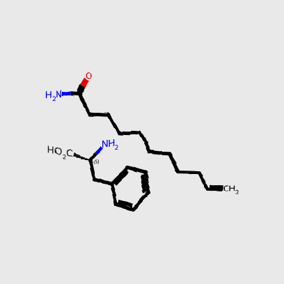 C=CCCCCCCCCC(N)=O.N[C@@H](Cc1ccccc1)C(=O)O